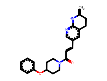 C=C1CCc2cc(/C=C/C(=O)N3CCC(Oc4ccccc4)CC3)cnc2N1